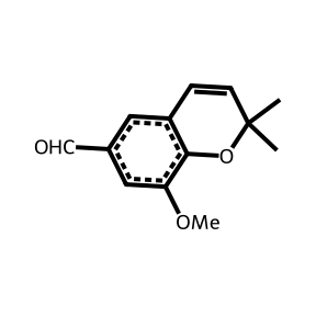 COc1cc(C=O)cc2c1OC(C)(C)C=C2